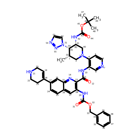 C[C@H]1CN(c2ccncc2NC(=O)c2nc3cc(C4=CCNCC4)ccc3cc2NC(=O)OCc2ccccc2)C[C@@H](NC(=O)OC(C)(C)C)[C@H]1n1ccnn1